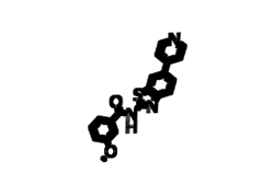 COc1cccc(C(=O)Nc2nc3ccc(-c4ccncc4)cc3s2)c1